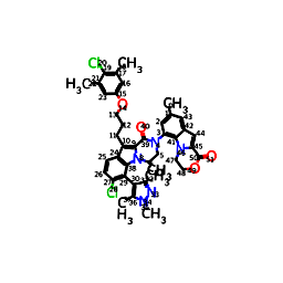 Cc1cc(N2CC(C)n3c(c(CCCOc4cc(C)c(Cl)c(C)c4)c4ccc(Cl)c(-c5c(C)nn(C)c5C)c43)C2=O)c2c(c1)cc1n2CCOC1=O